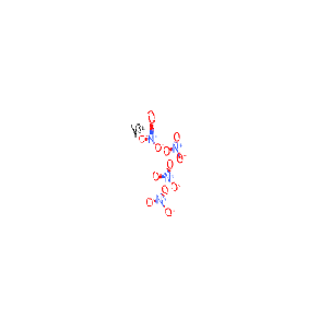 O=[N+]([O-])[O-].O=[N+]([O-])[O-].O=[N+]([O-])[O-].O=[N+]([O-])[O-].[Y+3]